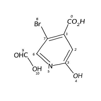 O=C(O)c1cc(O)ncc1Br.O=CO